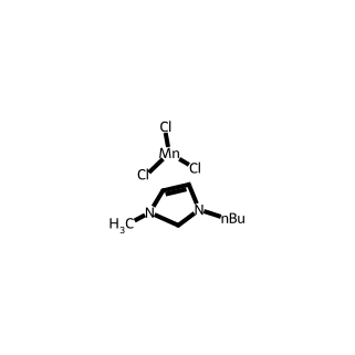 CCCCN1C=CN(C)C1.[Cl][Mn]([Cl])[Cl]